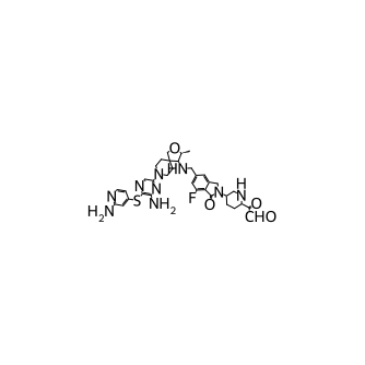 C[C@@H]1OCC2(CCN(c3cnc(Sc4ccnc(N)c4)c(N)n3)CC2)[C@@H]1NCc1cc(F)c2c(c1)CN(C1CCC(C(=O)C=O)NC1)C2=O